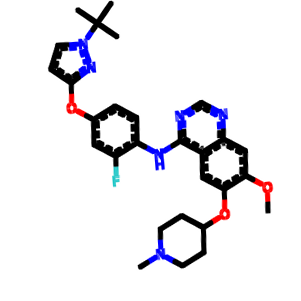 COc1cc2ncnc(Nc3ccc(Oc4ccn(C(C)(C)C)n4)cc3F)c2cc1OC1CCN(C)CC1